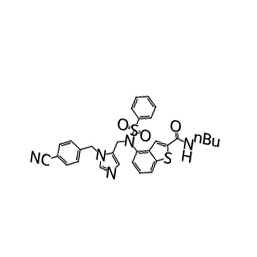 CCCCNC(=O)c1cc2c(N(Cc3cncn3Cc3ccc(C#N)cc3)S(=O)(=O)c3ccccc3)cccc2s1